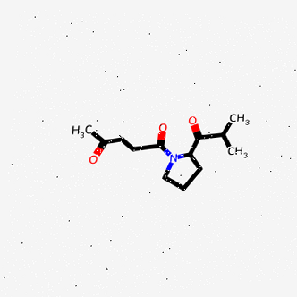 CC(=O)CCC(=O)N1CCCC1C(=O)C(C)C